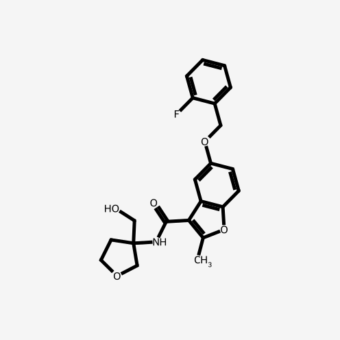 Cc1oc2ccc(OCc3ccccc3F)cc2c1C(=O)NC1(CO)CCOC1